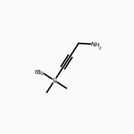 CC(C)(C)[Si](C)(C)C#CCN